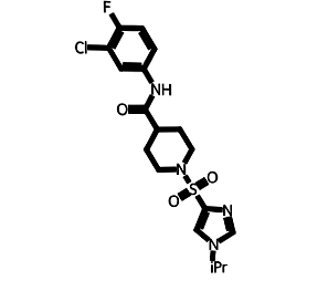 CC(C)n1cnc(S(=O)(=O)N2CCC(C(=O)Nc3ccc(F)c(Cl)c3)CC2)c1